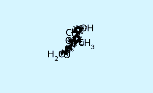 C=CC(=O)N1CC(N2Cc3c(C)cc(-c4cc(O)ccc4Cl)cc3C2=O)C1